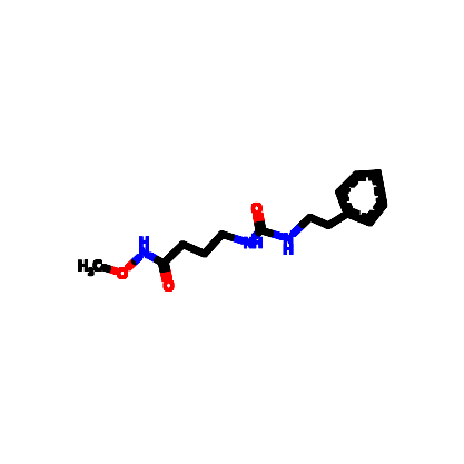 CONC(=O)CCCNC(=O)NCCc1ccccc1